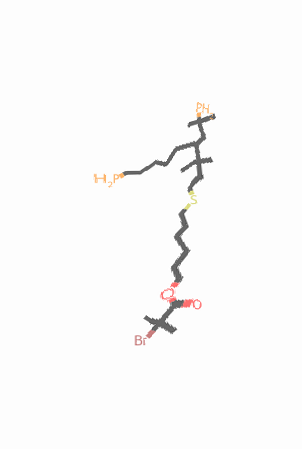 CC(C)(P)CC(CCCCCP)C(C)(C)CCSCCCCCCOC(=O)C(C)(C)Br